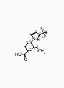 CCC1CC(C(=O)O)CCC1n1ccc(C(F)(F)F)n1